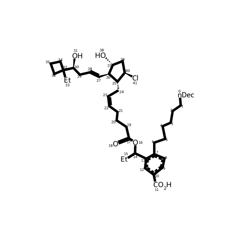 CCCCCCCCCCCCCCCCc1ccc(C(=O)O)cc1C(CC)OC(=O)CCC/C=C\C[C@@H]1[C@@H](/C=C/C[C@H](O)C2(CC)CCC2)[C@H](O)C[C@H]1Cl